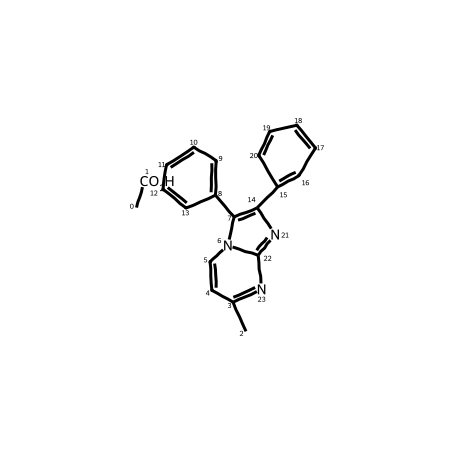 CC(=O)O.Cc1ccn2c(-c3ccccc3)c(-c3ccccc3)nc2n1